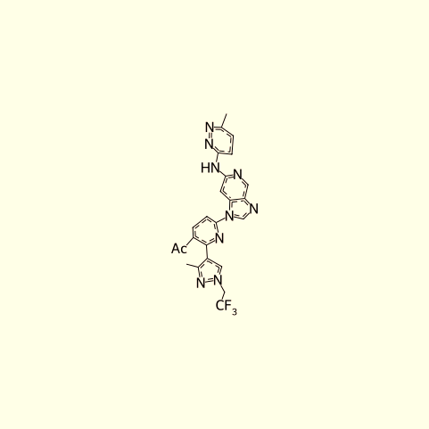 CC(=O)c1ccc(-n2cnc3cnc(Nc4ccc(C)nn4)cc32)nc1-c1cn(CC(F)(F)F)nc1C